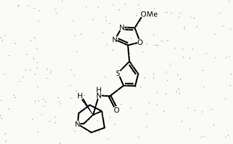 COc1nnc(-c2ccc(C(=O)N[C@H]3CN4CCC3CC4)s2)o1